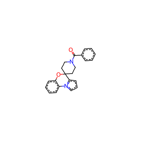 O=C(c1ccccc1)N1CCC2(CC1)Oc1ccccc1-n1cccc12